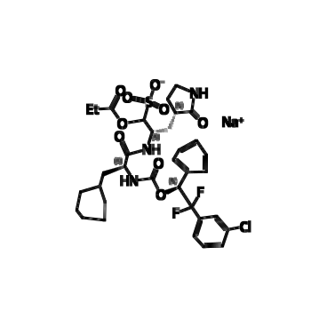 CCC(=O)OC([C@H](C[C@@H]1CCNC1=O)NC(=O)[C@H](CC1CCCCC1)NC(=O)O[C@@H](c1ccccc1)C(F)(F)c1cccc(Cl)c1)S(=O)(=O)[O-].[Na+]